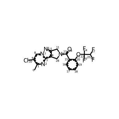 Cc1nc2c3c(nn2cc1Cl)CN(C(=O)c1ccccc1OC(F)(F)C(F)F)C3